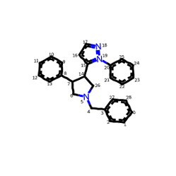 c1ccc(CN2CC(c3ccccc3)C(c3ccnn3-c3ccccc3)C2)cc1